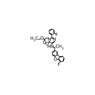 CCOC(=O)Cn1c(-c2ccccc2F)ncc(N[C@H](C)c2ccc3oc4c(F)cccc4c3c2)c1=O